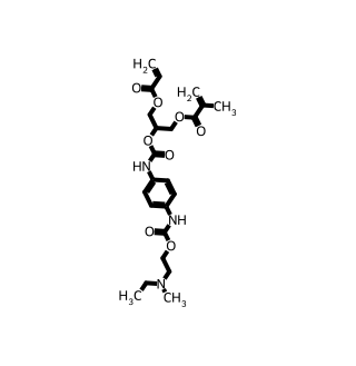 C=CC(=O)OCC(COC(=O)C(=C)C)OC(=O)Nc1ccc(NC(=O)OCCN(C)CC)cc1